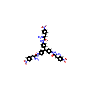 N[C@@H](Cc1ccc([N+](=O)[O-])cc1)C(=O)Nc1ccc(C(c2ccc(NC(=O)[C@@H](N)Cc3ccc([N+](=O)[O-])cc3)cc2)c2ccc(NC(=O)[C@@H](N)Cc3ccc([N+](=O)[O-])cc3)cc2)cc1